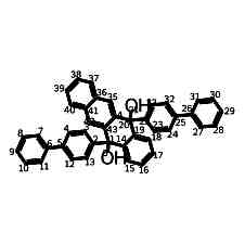 OC1(c2ccc(-c3ccccc3)cc2)c2ccccc2C(O)(c2ccc(-c3ccccc3)cc2)c2cc3ccccc3cc21